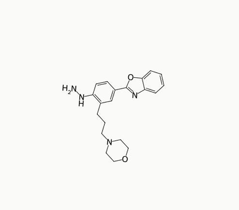 NNc1ccc(-c2nc3ccccc3o2)cc1CCCN1CCOCC1